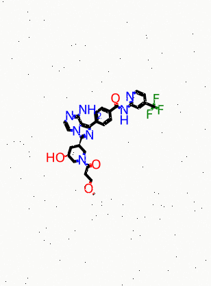 COCCC(=O)N1C[C@@H](O)C[C@@H](c2nc(-c3ccc(C(=O)Nc4cc(C(F)(F)F)ccn4)cc3)c3c(N)nccn23)C1